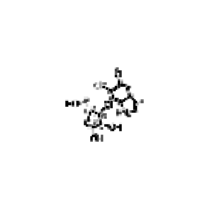 Clc1cc2nc[nH]c2cc1Cl.OC[C@H]1OC(O)[C@H](O)[C@@H]1O